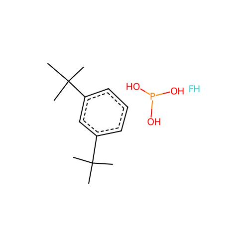 CC(C)(C)c1cccc(C(C)(C)C)c1.F.OP(O)O